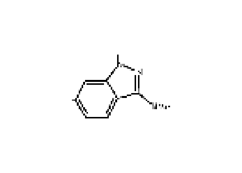 CNc1n[nH]c2c[c]ccc12